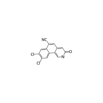 N#Cc1cc2c(c3cc(Cl)c(Cl)cc13)=C[N]C(=O)C=2